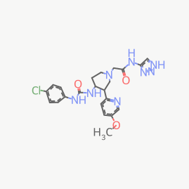 COc1ccc(C2CN(CC(=O)Nc3c[nH]nn3)CCC2NC(=O)Nc2ccc(Cl)cc2)nc1